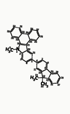 Cn1c2ccc(-c3ccc4c(c3)C(C)(C)c3ccccc3-4)cc2c2c3ccccc3c3ccccc3c21